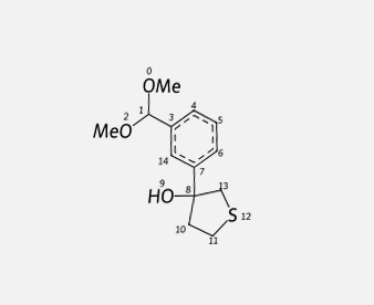 COC(OC)c1cccc(C2(O)CCSC2)c1